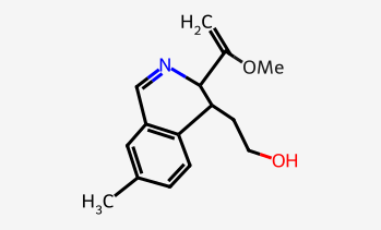 C=C(OC)C1N=Cc2cc(C)ccc2C1CCO